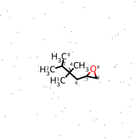 CC(C)C(C)(C)CC1CO1